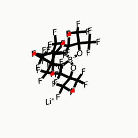 FC(F)(F)C(O[B-](OC(C(F)(F)F)(C(F)(F)F)C(F)(F)F)(OC(C(F)(F)F)(C(F)(F)F)C(F)(F)F)OC(C(F)(F)F)(C(F)(F)F)C(F)(F)F)(C(F)(F)F)C(F)(F)F.[Li+]